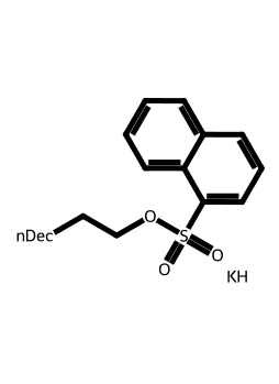 CCCCCCCCCCCCOS(=O)(=O)c1cccc2ccccc12.[KH]